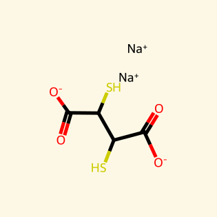 O=C([O-])C(S)C(S)C(=O)[O-].[Na+].[Na+]